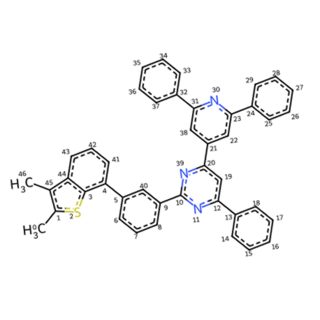 Cc1sc2c(-c3cccc(-c4nc(-c5ccccc5)cc(-c5cc(-c6ccccc6)nc(-c6ccccc6)c5)n4)c3)cccc2c1C